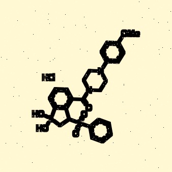 COc1ccc(N2CCN(C(=O)c3cccc4c3C(S(=O)(=O)c3ccccc3)CS4(O)O)CC2)cc1.Cl